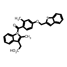 Cc1cc(OCc2cc3ccccc3s2)ccc1C(=O)n1c(C)c(CC(=O)O)c2ccccc21